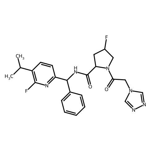 CC(C)c1ccc(C(NC(=O)C2CC(F)CN2C(=O)Cn2cnnc2)c2ccccc2)nc1F